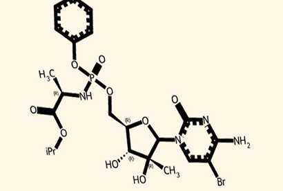 CC(C)OC(=O)[C@@H](C)NP(=O)(OC[C@H]1OC(n2cc(Br)c(N)nc2=O)[C@](C)(O)[C@@H]1O)Oc1ccccc1